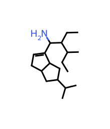 CCC(C)C(CC)C(N)C1=CCC2CC(C(C)C)CC12